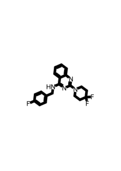 Fc1ccc(CNc2nc(N3CCC(F)(F)CC3)nc3ccccc23)cc1